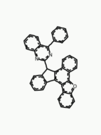 c1ccc(-c2nc(C3c4ccccc4-c4c3c3ccccc3c3oc5ccccc5c43)nc3ccccc23)cc1